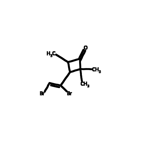 CC1C(=O)C(C)(C)C1C(Br)=CBr